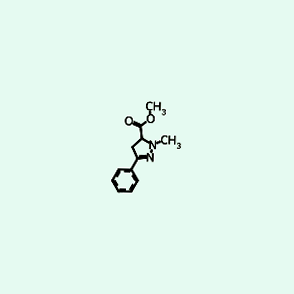 COC(=O)C1CC(c2ccccc2)=NN1C